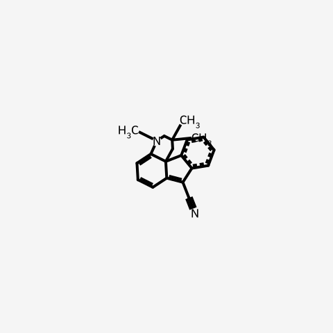 CN1CC(C)(C)CC23C1=CC=CC2=C(C#N)c1ccccc13